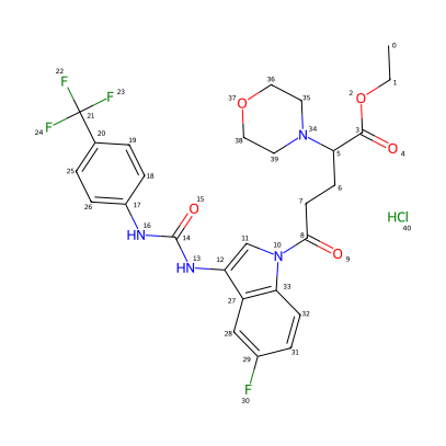 CCOC(=O)C(CCC(=O)n1cc(NC(=O)Nc2ccc(C(F)(F)F)cc2)c2cc(F)ccc21)N1CCOCC1.Cl